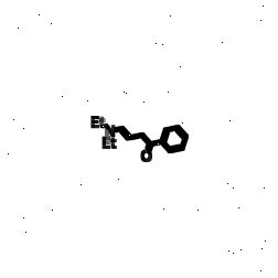 CCN(C=CCC(=O)c1ccccc1)CC